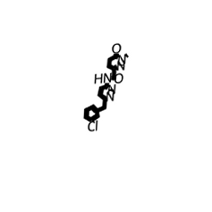 CN1N=C(C(=O)Nc2ccc(Cc3cccc(Cl)c3)nn2)CCC1=O